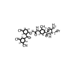 Cc1cc(S(=O)(=O)N[C@@H](CC(C)C)C(N)=O)ccc1NC(=O)COc1ccc(Cl)cc1C(=O)c1cc(Cl)cc(C#N)c1